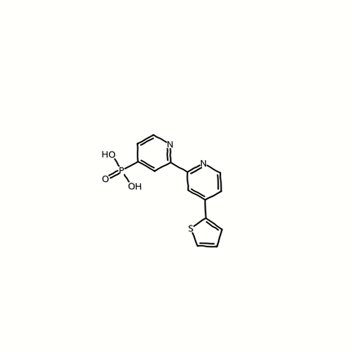 O=P(O)(O)c1ccnc(-c2cc(-c3cccs3)ccn2)c1